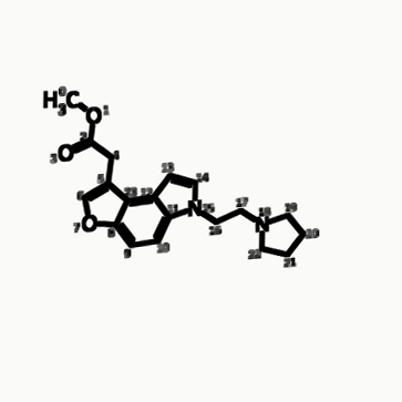 COC(=O)Cc1coc2ccc3c(ccn3CCN3CCCC3)c12